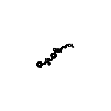 CCCCCNNC(=O)c1ccc(CNC(=O)C=Cc2ccccc2)cc1